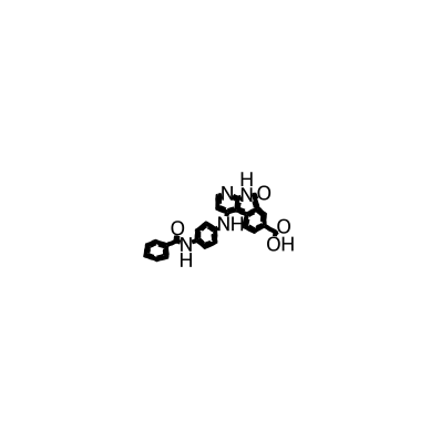 O=C(O)c1ccc2c(c1)c(=O)[nH]c1nccc(Nc3ccc(NC(=O)c4ccccc4)cc3)c12